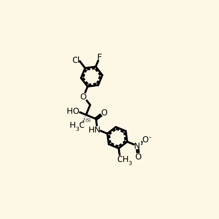 Cc1cc(NC(=O)[C@@](C)(O)COc2ccc(F)c(Cl)c2)ccc1[N+](=O)[O-]